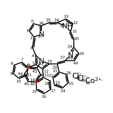 C1=Cc2cc3c(-c4ccccc4)c(-c4ccccc4)c(c(-c4ccccc4)c4nc(cc5ccc(cc1n2)[nH]5)C=C4)n3-c1ccccc1.[Cl-].[Cl-].[Co+2]